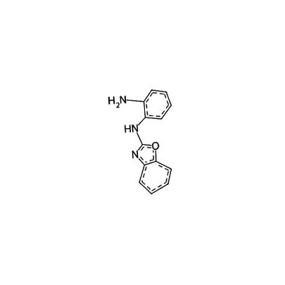 Nc1ccccc1Nc1nc2ccccc2o1